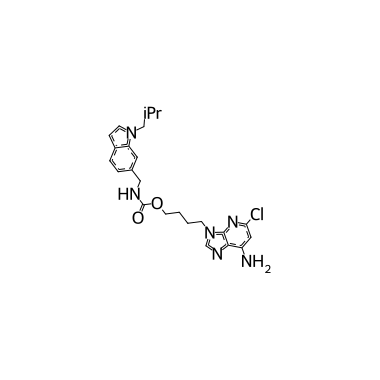 CC(C)Cn1ccc2ccc(CNC(=O)OCCCCn3cnc4c(N)cc(Cl)nc43)cc21